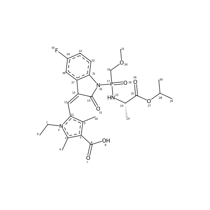 CCn1c(C)c(C(=O)O)c(C)c1/C=C1\C(=O)N(P(=O)(COC)N[C@@H](C)C(=O)OC(C)C)c2ccc(F)cc21